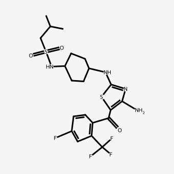 CC(C)CS(=O)(=O)NC1CCC(Nc2nc(N)c(C(=O)c3ccc(F)cc3C(F)(F)F)s2)CC1